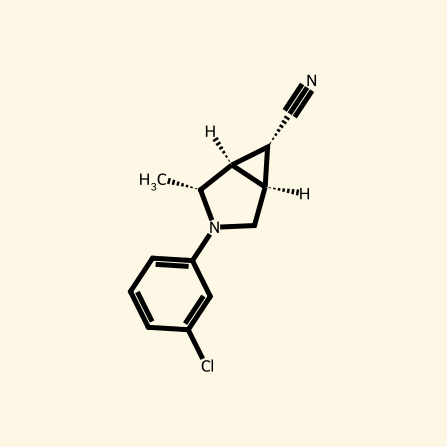 C[C@@H]1[C@H]2[C@H](C#N)[C@H]2CN1c1cccc(Cl)c1